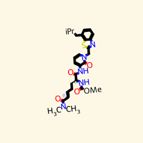 COC(=O)N[C@@H](CC/C=C/C(=O)N(C)C)C(=O)Nc1cccn(Cc2nc3cccc(CC(C)C)c3s2)c1=O